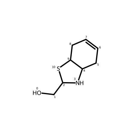 OCC1NC2CC=CCC2S1